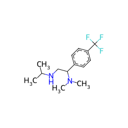 CC(C)NCC(c1ccc(C(F)(F)F)cc1)N(C)C